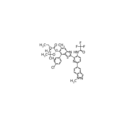 CCOC(=O)[C@@H](OC(C)(C)C)c1c(C)cc2nc(-c3nc(-c4ccc5c(cnn5C)c4)ccc3NC(=O)C(F)(F)F)sc2c1-c1ccc(Cl)cc1